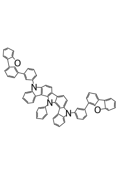 c1ccc(-n2c3c(ccc4c3c3ccccc3n4-c3cccc(-c4cccc5c4oc4ccccc45)c3)c3ccc4c(c5ccccc5n4-c4cccc(-c5cccc6c5oc5ccccc56)c4)c32)cc1